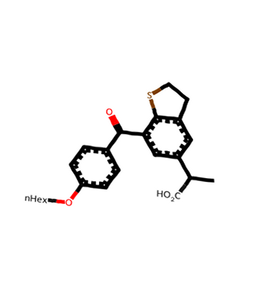 CCCCCCOc1ccc(C(=O)c2cc(C(C)C(=O)O)cc3c2SCC3)cc1